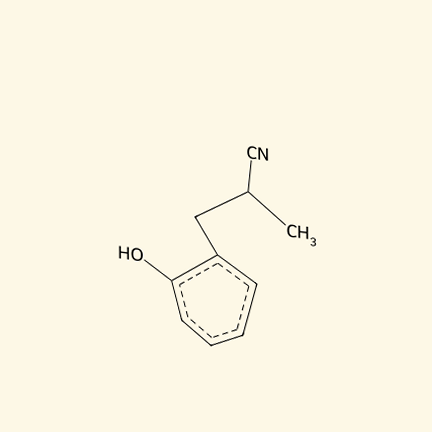 CC(C#N)Cc1ccccc1O